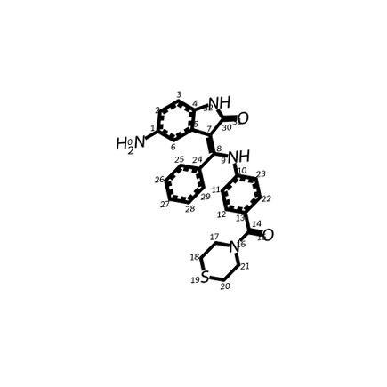 Nc1ccc2c(c1)/C(=C(/Nc1ccc(C(=O)N3CCSCC3)cc1)c1ccccc1)C(=O)N2